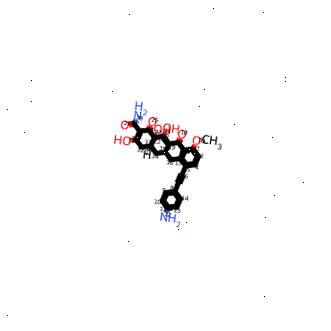 COc1ccc(C#Cc2ccc(N)cc2)c2c1C(=O)C1=C(O)[C@]3(O)C(=O)C(C(N)=O)=C(O)C[C@@H]3CC1C2